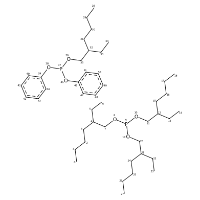 CCCCC(CC)COP(OCC(CC)CCCC)OCC(CC)CCCC.CCCCC(CC)COP(Oc1ccccc1)Oc1ccccc1